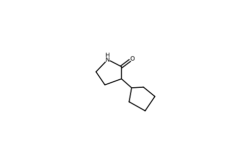 O=C1NCCC1C1CCCC1